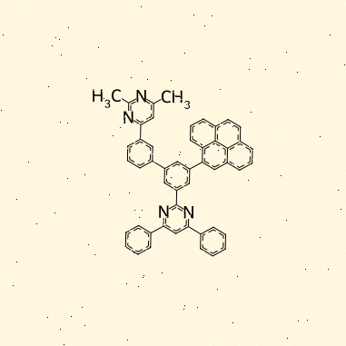 Cc1cc(-c2cccc(-c3cc(-c4nc(-c5ccccc5)cc(-c5ccccc5)n4)cc(-c4cc5cccc6ccc7cccc4c7c65)c3)c2)nc(C)n1